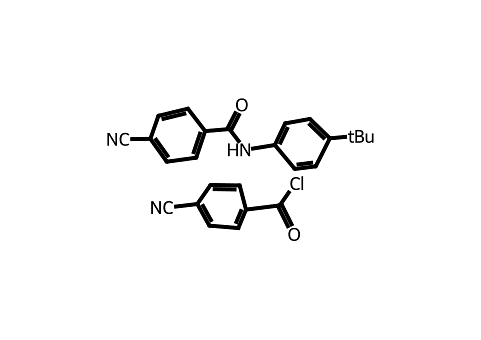 CC(C)(C)c1ccc(NC(=O)c2ccc(C#N)cc2)cc1.N#Cc1ccc(C(=O)Cl)cc1